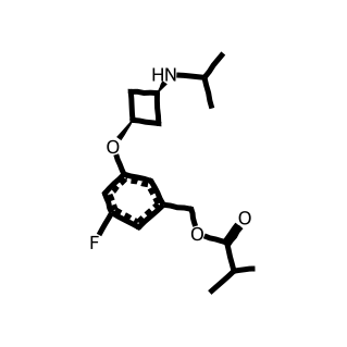 CC(C)N[C@H]1C[C@@H](Oc2cc(F)cc(COC(=O)C(C)C)c2)C1